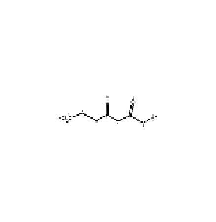 CC(=O)CC(=O)CC(=O)CCC(=O)O